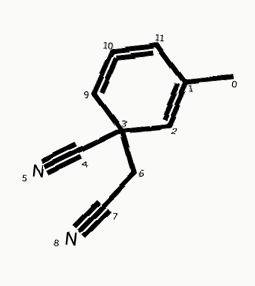 CC1=CC(C#N)(CC#N)C=C=C1